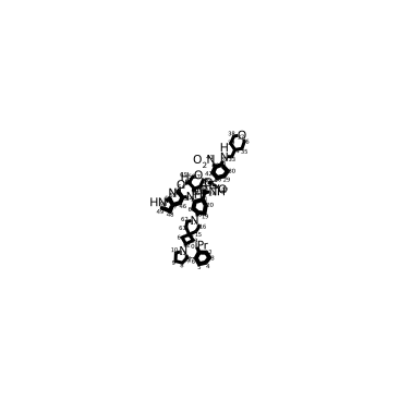 CC(C)c1ccccc1[C@@H]1CCCN1C1CC2(CCN(c3ccc(C(=O)NS(=O)(=O)c4ccc(NCC5CCOCC5)c([N+](=O)[O-])c4)c(N4c5cc6cc[nH]c6nc5O[C@@H]5COCC[C@@H]54)c3)CC2)C1